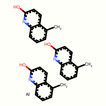 Cc1cccc2nc(O)ccc12.Cc1cccc2nc(O)ccc12.Cc1cccc2nc(O)ccc12.[Al]